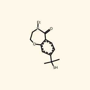 CCN1CCOc2cc(C(C)(C)S)ccc2C1=O